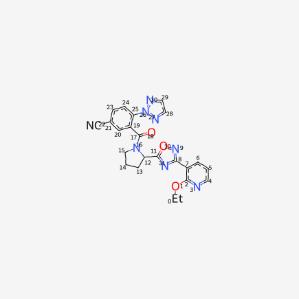 CCOc1ncccc1-c1noc(C2CCCN2C(=O)c2cc(C#N)ccc2-n2nccn2)n1